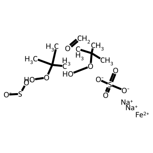 C=O.CC(C)(C)OO.CC(C)(C)OO.O=S(=O)([O-])[O-].[Fe+2].[Na+].[Na+].[O-]S[O-]